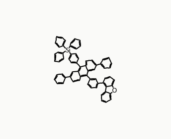 c1ccc(-c2ccc3c(-c4cccc(-c5cccc6oc7ccccc7c56)c4)c4cc(-c5ccccc5)ccc4c(-c4ccc([Si](c5ccccc5)(c5ccccc5)c5ccccc5)cc4)c3c2)cc1